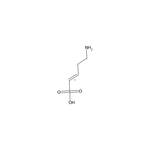 NCC/C=C/S(=O)(=O)O